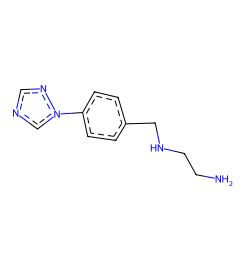 NCCNCc1ccc(-n2cncn2)cc1